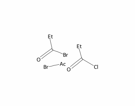 CC(=O)Br.CCC(=O)Br.CCC(=O)Cl